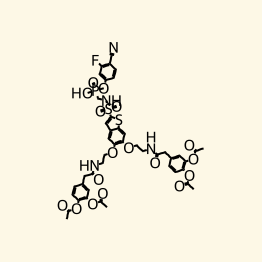 CC(=O)Oc1ccc(CC(=O)NCCOc2cc3cc(S(=O)(=O)NCP(=O)(O)Oc4ccc(C#N)c(F)c4)sc3cc2OCCNC(=O)Cc2ccc(OC(C)=O)c(OC(C)=O)c2)cc1OC(C)=O